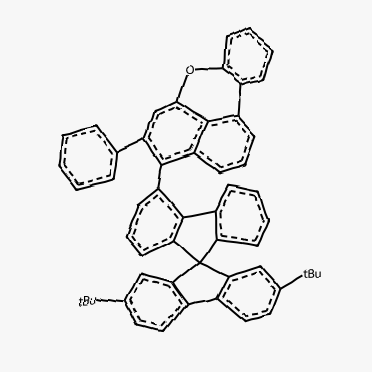 CC(C)(C)c1ccc2c(c1)C1(c3cc(C(C)(C)C)ccc3-2)c2ccccc2-c2c(-c3c(-c4ccccc4)cc4c5c(cccc35)-c3ccccc3O4)cccc21